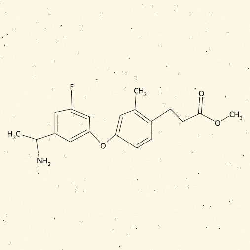 COC(=O)CCc1ccc(Oc2cc(F)cc(C(C)N)c2)cc1C